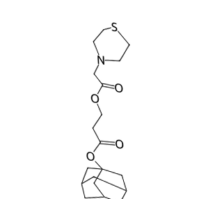 O=C(CN1CCSCC1)OCCC(=O)OC12CC3CC(CC(C3)C1)C2